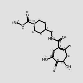 CC1=C(C(=O)NCC2CCN(C(=O)OC(C)(C)C)CC2)C=C(O)C(=O)C(O)C1